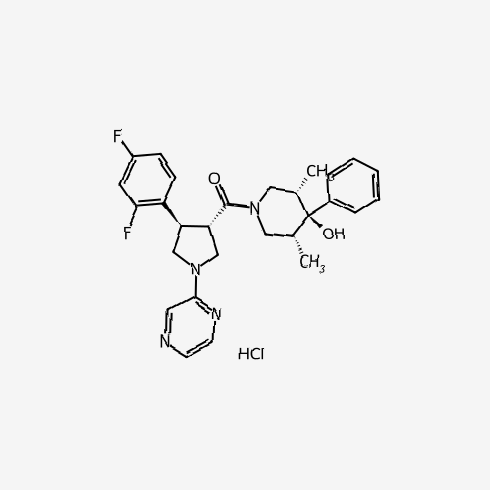 C[C@@H]1CN(C(=O)[C@@H]2CN(c3cnccn3)C[C@H]2c2ccc(F)cc2F)C[C@H](C)[C@]1(O)c1ccccc1.Cl